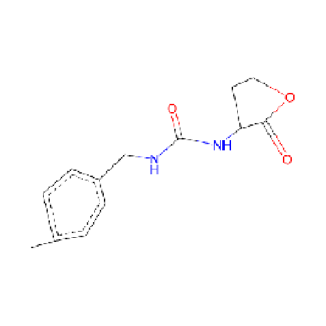 Cc1ccc(CNC(=O)NC2CCOC2=O)cc1